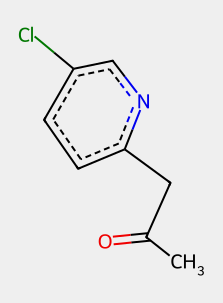 CC(=O)Cc1ccc(Cl)cn1